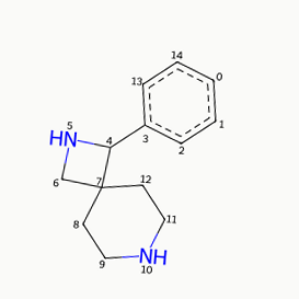 c1ccc(C2NCC23CCNCC3)cc1